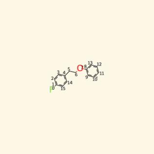 Fc1ccc(CCOc2c[c]ccc2)cc1